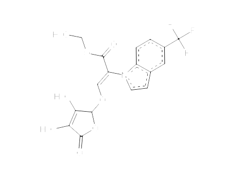 CCOC(=O)/C(=C/OC1OC(=O)C(C)=C1C)n1ccc2cc(C(F)(F)F)ccc21